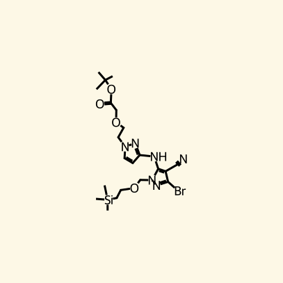 CC(C)(C)OC(=O)COCCn1ccc(Nc2c(C#N)c(Br)nn2COCC[Si](C)(C)C)n1